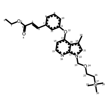 CCOC(=O)/C=C/c1cccc(Oc2ccnc3c2c(C)cn3COCC[Si](C)(C)C)c1